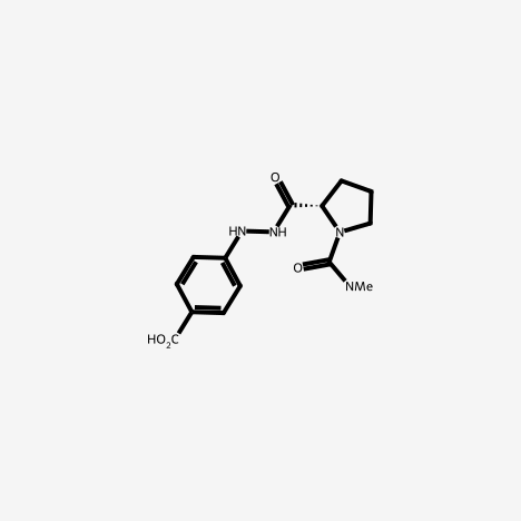 CNC(=O)N1CCC[C@H]1C(=O)NNc1ccc(C(=O)O)cc1